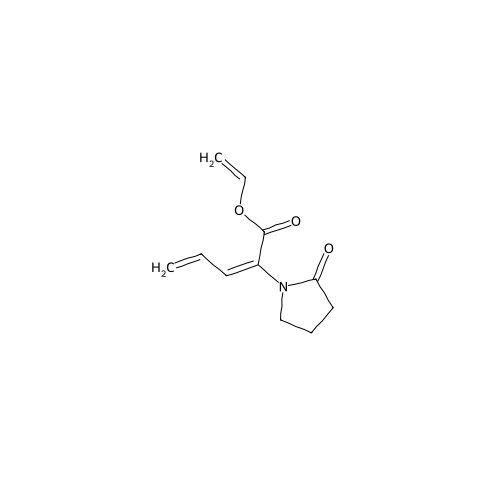 C=CC=C(C(=O)OC=C)N1CCCC1=O